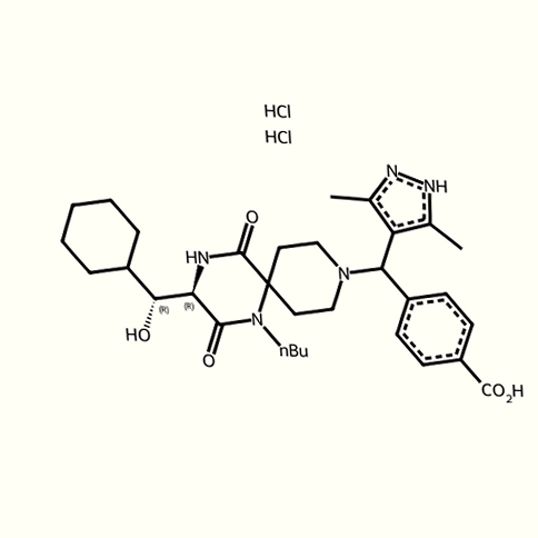 CCCCN1C(=O)[C@@H]([C@H](O)C2CCCCC2)NC(=O)C12CCN(C(c1ccc(C(=O)O)cc1)c1c(C)n[nH]c1C)CC2.Cl.Cl